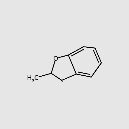 CC1[C]c2ccccc2O1